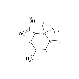 CC1CC(N)CCC1(C)N.O=CO